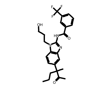 CCCC(C)(C(C)=O)c1ccc2c(c1)nc(NC(=O)c1cccc(C(F)(F)F)c1)n2CCCO